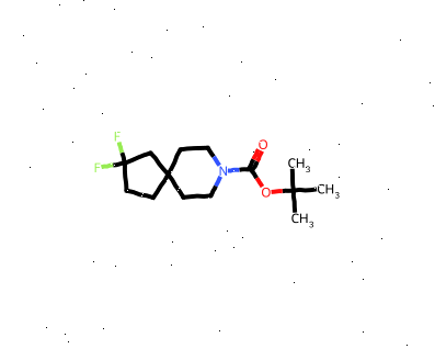 CC(C)(C)OC(=O)N1CCC2(CC1)CCC(F)(F)C2